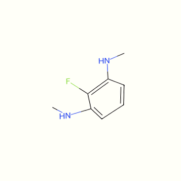 CNc1cccc(NC)c1F